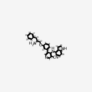 N#Cc1cncc(-c2cccc(OC[C@@H](N)Cc3ccccc3)c2)c1Nc1cccc2[nH]ccc12